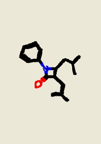 CC(C)CC1C(=O)N(c2ccccc2)C1CC(C)C